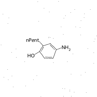 CCCCCc1cc(N)ccc1O